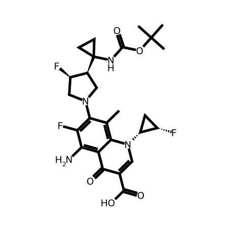 Cc1c(N2C[C@@H](F)[C@@H](C3(NC(=O)OC(C)(C)C)CC3)C2)c(F)c(N)c2c(=O)c(C(=O)O)cn([C@@H]3C[C@@H]3F)c12